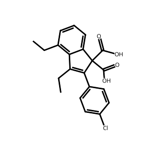 CCC1=C(c2ccc(Cl)cc2)C(C(=O)O)(C(=O)O)c2cccc(CC)c21